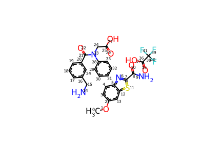 COc1ccc2nc(C(N)=O)sc2c1.NCc1cccc(C(=O)N(CC(=O)O)c2ccccc2)c1.O=C(O)C(F)(F)F